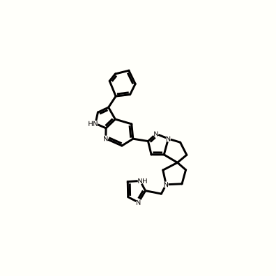 c1ccc(-c2c[nH]c3ncc(-c4cc5n(n4)CCC54CCN(Cc5ncc[nH]5)C4)cc23)cc1